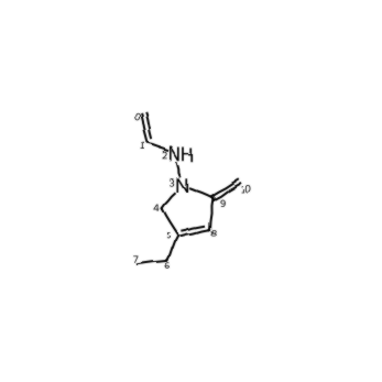 C=CNN1CC(CC)=CC1=C